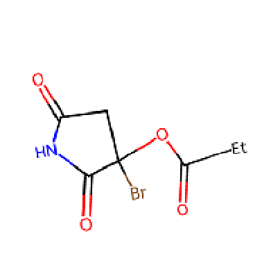 CCC(=O)OC1(Br)CC(=O)NC1=O